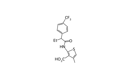 CCC(C(=O)Nc1scc(C)c1C(=O)O)c1ccc(C(F)(F)F)cc1